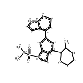 CC1NCCO[C@H]1c1nc(-c2ccnc3[nH]ccc23)nc2c1ccn2S(=O)(=O)N(C)C